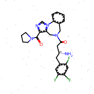 N[C@@H](CC(=O)N1Cc2ccccc2-n2cnc(C(=O)N3CCCC3)c2C1)Cc1cc(F)c(F)cc1F